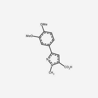 COc1ccc(-c2cc(C(=O)O)n(C)n2)cc1OC